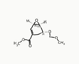 COCO[C@@H]1CC(C(=O)OC)=C[C@H]2O[C@H]21